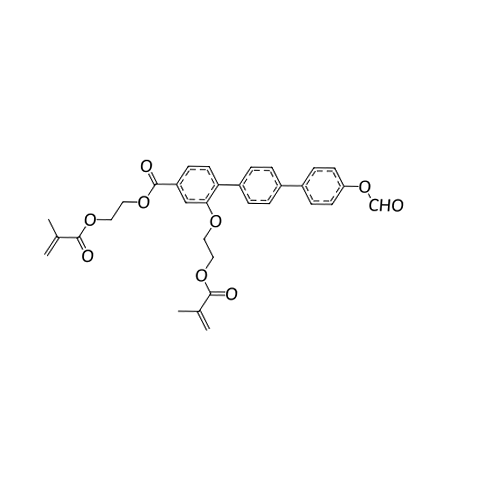 C=C(C)C(=O)OCCOC(=O)c1ccc(-c2ccc(-c3ccc(OC=O)cc3)cc2)c(OCCOC(=O)C(=C)C)c1